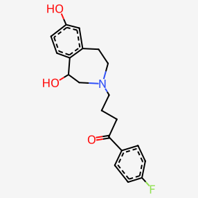 O=C(CCCN1CCc2cc(O)ccc2C(O)C1)c1ccc(F)cc1